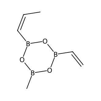 C=CB1OB(C)OB(/C=C\C)O1